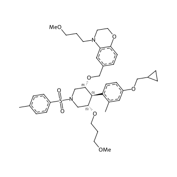 COCCCO[C@@H]1CN(S(=O)(=O)c2ccc(C)cc2)C[C@H](OCc2ccc3c(c2)N(CCCOC)CCO3)[C@H]1c1ccc(OCC2CC2)cc1C